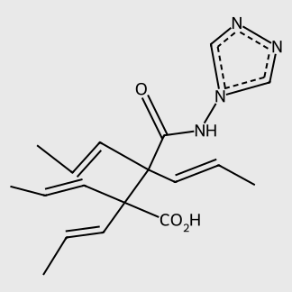 CC=CC(C=CC)(C(=O)O)C(C=CC)(C=CC)C(=O)Nn1cnnc1